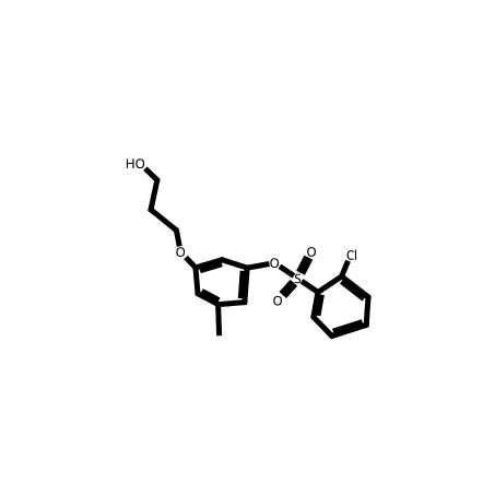 Cc1cc(OCCCO)cc(OS(=O)(=O)c2ccccc2Cl)c1